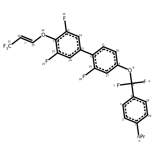 CCCc1ccc(C(F)(F)Oc2ccc(-c3cc(F)c(O/C=C/C(F)(F)F)c(F)c3)c(F)c2)cc1